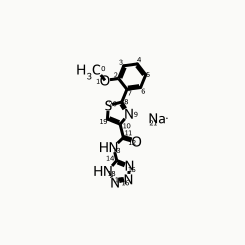 COc1ccccc1-c1nc(C(=O)Nc2nnn[nH]2)cs1.[Na]